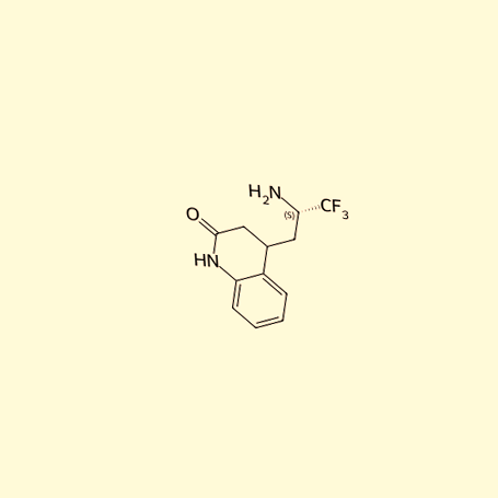 N[C@@H](CC1CC(=O)Nc2ccccc21)C(F)(F)F